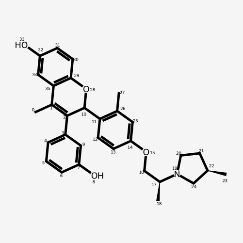 CC1=C(c2cccc(O)c2)C(c2ccc(OC[C@H](C)N3CC[C@@H](C)C3)cc2C)Oc2ccc(O)cc21